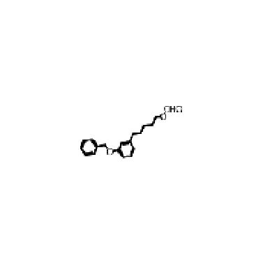 O=COCCCCCc1cccc(OCc2ccccc2)c1